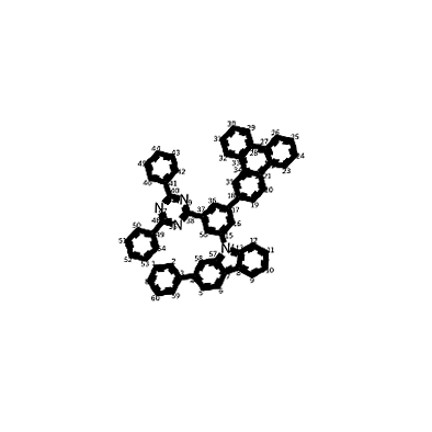 c1ccc(-c2ccc3c4ccccc4n(-c4cc(-c5ccc6c7ccccc7c7ccccc7c6c5)cc(-c5nc(-c6ccccc6)nc(-c6ccccc6)n5)c4)c3c2)cc1